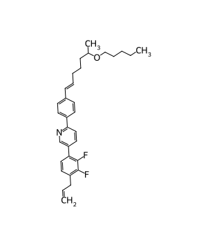 C=CCc1ccc(-c2ccc(-c3ccc(C=CCCCC(C)OCCCCC)cc3)nc2)c(F)c1F